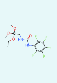 CCO[Si](CNC(=O)Nc1c(F)c(F)c(F)c(F)c1F)(OC)OC